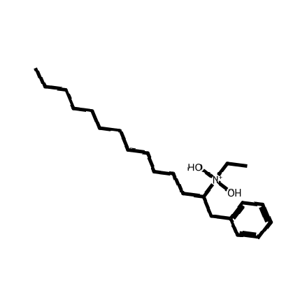 CCCCCCCCCCCCC(Cc1ccccc1)[N+](O)(O)CC